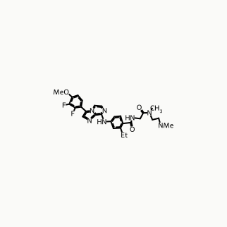 CCc1cc(Nc2nccn3c(-c4ccc(OC)c(F)c4F)cnc23)ccc1C(=O)NCC(=O)N(C)CCNC